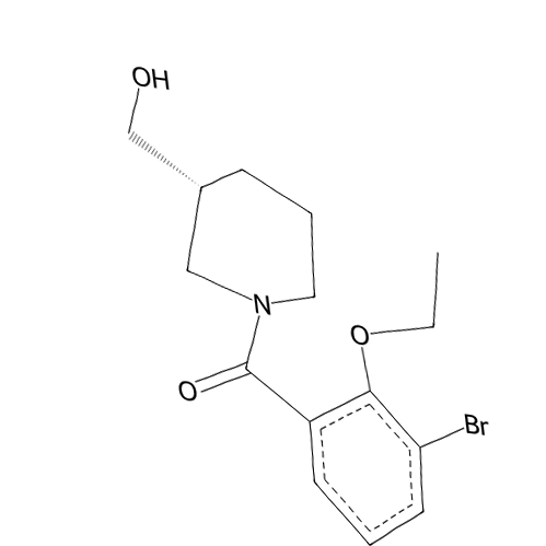 CCOc1c(Br)cccc1C(=O)N1CCC[C@@H](CO)C1